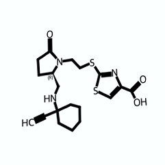 C#CC1(NC[C@H]2CCC(=O)N2CCSc2nc(C(=O)O)cs2)CCCCC1